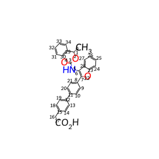 CC(OC(=O)Nc1c(-c2ccc(-c3ccc(CC(=O)O)cc3)cc2)oc2ccccc12)c1ccccc1